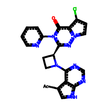 CC(=O)c1c[nH]c2ncnc(N3CC[C@H]3c3nn4ccc(Cl)c4c(=O)n3-c3ccccn3)c12